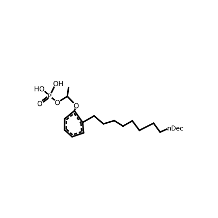 CCCCCCCCCCCCCCCCCCc1ccccc1OC(C)OP(=O)(O)O